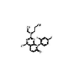 O=c1ccc2c(Cl)nc(N(CO)CCO)nc2n1-c1ccc(F)cc1F